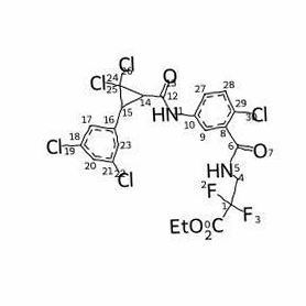 CCOC(=O)C(F)(F)CNC(=O)c1cc(NC(=O)C2C(c3cc(Cl)cc(Cl)c3)C2(Cl)Cl)ccc1Cl